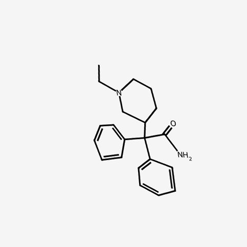 CCN1CCCC(C(C(N)=O)(c2ccccc2)c2ccccc2)C1